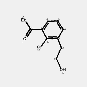 CCC(=O)c1cccc(CCO)c1Br